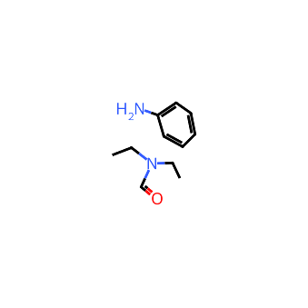 CCN(C=O)CC.Nc1ccccc1